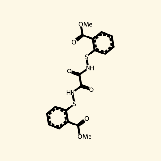 COC(=O)c1ccccc1SNC(=O)C(=O)NSc1ccccc1C(=O)OC